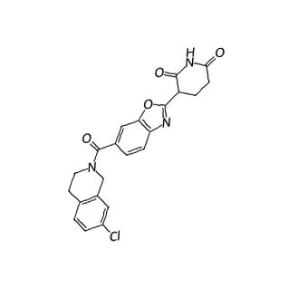 O=C1CCC(c2nc3ccc(C(=O)N4CCc5ccc(Cl)cc5C4)cc3o2)C(=O)N1